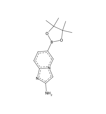 CC1(C)OB(c2ccc3nc(N)cn3c2)OC1(C)C